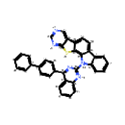 c1ccc(-c2ccc(-c3nc(-n4c5ccccc5c5ccc6c7cncnc7sc6c54)nc4ccccc34)cc2)cc1